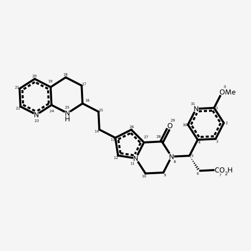 COc1ccc([C@H](CC(=O)O)N2CCn3cc(CCC4CCc5cccnc5N4)cc3C2=O)cn1